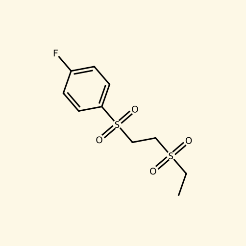 CCS(=O)(=O)CCS(=O)(=O)c1ccc(F)cc1